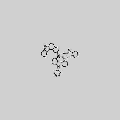 c1ccc(-n2c3ccccc3c3c(N(c4ccc5c(c4)sc4ccccc45)c4ccc5ccc6sc7ccccc7c6c5c4)cccc32)cc1